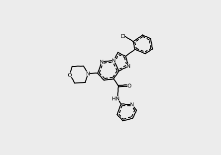 O=C(Nc1ccccn1)c1cc(N2CCOCC2)nn2cc(-c3ccccc3Cl)nc12